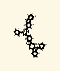 c1ccc(-c2nc(-c3ccc4c(c3)oc3cc5c6ccccc6n(-c6ccccc6)c5cc34)nc(-c3ccc4c(c3)sc3ccccc34)n2)cc1